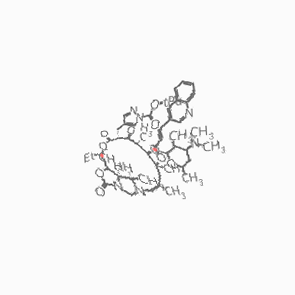 CC[C@H]1OC(=O)[C@H](Cc2cnn(C(=O)OC(C)(C)C)c2)C(=O)[C@H](C)C(O[C@@H]2OC(C)CC(N(C)C)C2C)[C@](C)(OC/C=C/c2cnc3ccccc3c2)C[C@@H](C)CN2CN3C(=O)O[C@@]1(C)[C@H]3[C@H]2C